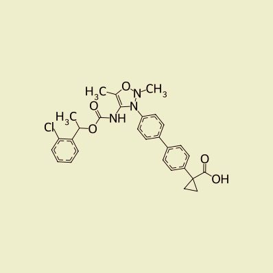 CC1=C(NC(=O)OC(C)c2ccccc2Cl)N(c2ccc(-c3ccc(C4(C(=O)O)CC4)cc3)cc2)N(C)O1